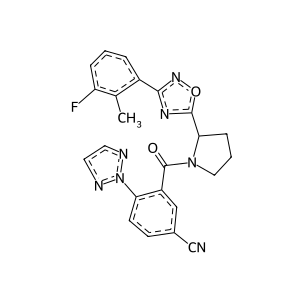 Cc1c(F)cccc1-c1noc(C2CCCN2C(=O)c2cc(C#N)ccc2-n2nccn2)n1